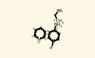 C[CH2][Rh].Nc1ccc(F)cc1.c1ccncc1